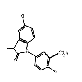 CC1C(=O)N(c2ccc(F)c(C(=O)O)c2)c2ccc(Cl)cc21